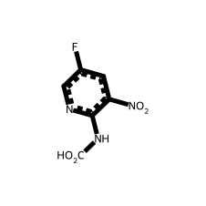 O=C(O)Nc1ncc(F)cc1[N+](=O)[O-]